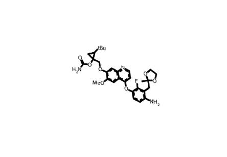 COc1cc2c(Oc3ccc(N)c(CC4(C)OCCO4)c3F)ccnc2cc1OCC1(OC(N)=O)CC1C(C)(C)C